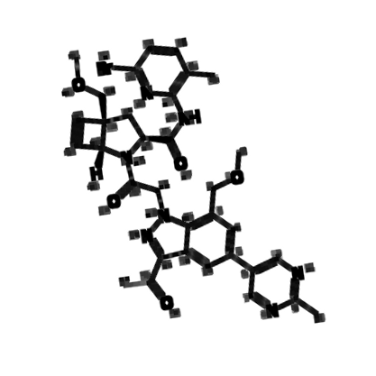 COCc1cc(-c2cnc(C)nc2)cc2c(C(C)=O)nn(CC(=O)N3[C@H](C(=O)Nc4nc(Br)ccc4C)C[C@@]4(COC)C#C[C@@H]34)c12